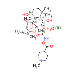 C=C[C@@]1(C)CC(=O)[C@]2(O)[C@@]3(C)[C@@H](O)CCC(C)(C)[C@@H]3[C@H](O)[C@H](OC(=O)NOC(=O)C3CCN(C)CC3)[C@@]2(C)O1.Cl.O